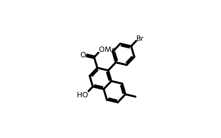 COC(=O)c1cc(O)c2ccc(C)cc2c1-c1ccc(Br)cc1